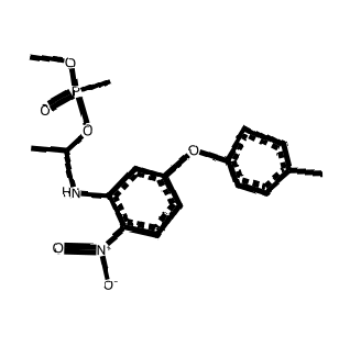 COP(C)(=O)OC(C)Nc1cc(Oc2ccc(C)cc2)ccc1[N+](=O)[O-]